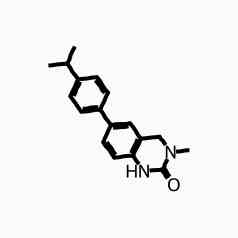 CC(C)c1ccc(-c2ccc3c(c2)CN(C)C(=O)N3)cc1